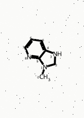 CN1CNc2cccnc21